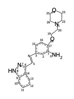 Nc1cc(C=Cc2n[nH]c3ccccc23)ccc1OCCN1CCOCC1